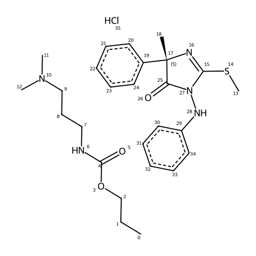 CCCOC(=O)NCCCN(C)C.CSC1=N[C@@](C)(c2ccccc2)C(=O)N1Nc1ccccc1.Cl